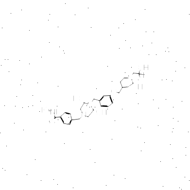 C[C@@H]1CN(Cc2ccc(C(=O)NO)cc2)C[C@H](C)N1Cc1cccc(OCC2CCN(CC(C)(C)F)CC2)c1